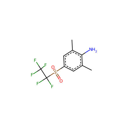 Cc1cc(S(=O)(=O)C(F)(F)C(F)(F)F)cc(C)c1N